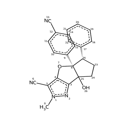 Cn1nc2c(c1C#N)O[C@@]1(c3ccc(C#N)cc3)[C@H](c3ccccc3)CCC21O